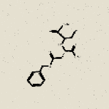 COC(=O)C(CC(C)C)N[C@@H](CC(=O)OCc1ccccc1)C(=O)OC